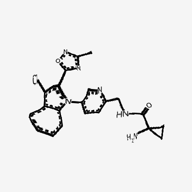 Cc1noc(-c2c(Cl)c3ccccc3n2-c2ccc(CNC(=O)C3(N)CC3)nc2)n1